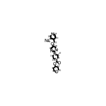 C[C@@H]1CN(C(=O)OC2CCOCC2)CCN1c1ncc(OCc2ccncc2C#N)cn1